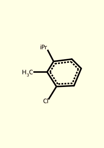 [CH2]C(C)c1cccc(Cl)c1C